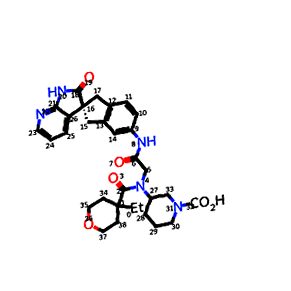 CCC1(C(=O)N(CC(=O)Nc2ccc3c(c2)C[C@@]2(C3)C(=O)Nc3ncccc32)C2CCCN(C(=O)O)C2)CCOCC1